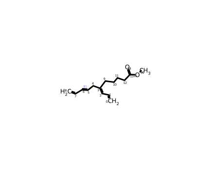 C=CC=C(C/C=C/C=C)CCCCC(=O)OC